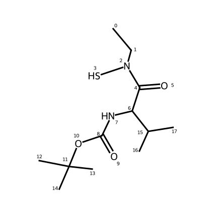 CCN(S)C(=O)C(NC(=O)OC(C)(C)C)C(C)C